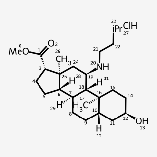 COC(=O)[C@H]1CC[C@H]2[C@@H]3CC[C@H]4C[C@H](O)CC[C@]4(C)[C@H]3[C@H](NCCC(C)C)C[C@]12C.Cl